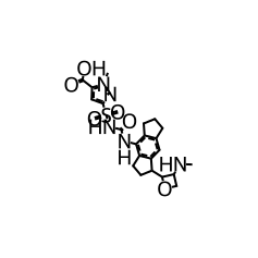 CNC1COC1C1CCc2c1cc1c(c2NC(=O)NS(=O)(=O)c2cc(C(=O)O)n(C)n2)CCC1